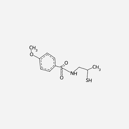 COc1ccc(S(=O)(=O)NCC(C)S)cc1